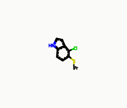 CC(C)Sc1ccc2[nH]ccc2c1Cl